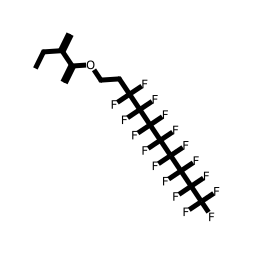 C=C(CC)C(=C)OCCC(F)(F)C(F)(F)C(F)(F)C(F)(F)C(F)(F)C(F)(F)C(F)(F)C(F)(F)F